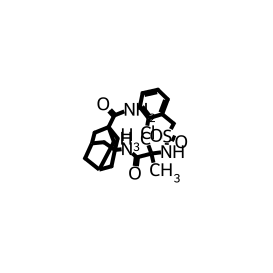 CC(C)(NS(=O)(=O)Cc1ccccc1Cl)C(=O)NC12CC3CC(C1)CC(C(N)=O)(C3)C2